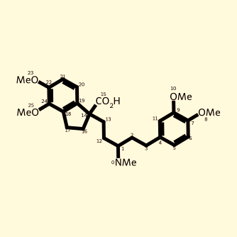 CNC(CCc1ccc(OC)c(OC)c1)CCC1(C(=O)O)CCc2c1ccc(OC)c2OC